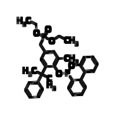 CCOP(=O)(Cc1cc(C)c(OP2Oc3ccccc3-c3ccccc32)c(C(C)(C)c2ccccc2)c1)OCC